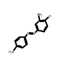 Nc1ccc(N=Nc2ccc(Cl)c(N)c2)cc1